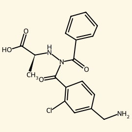 C[C@H](NN(C(=O)c1ccccc1)C(=O)c1ccc(CN)cc1Cl)C(=O)O